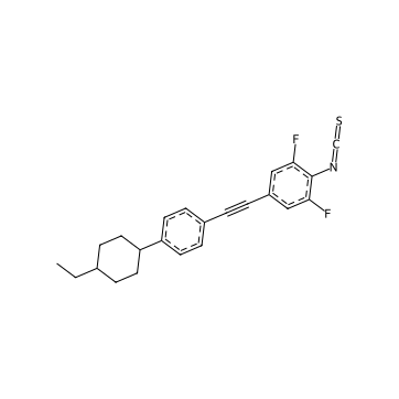 CCC1CCC(c2ccc(C#Cc3cc(F)c(N=C=S)c(F)c3)cc2)CC1